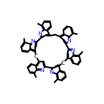 Cc1cccc2c3cc(nc12)-c1cc(c2cccc(C)c2n1)Cc1cc(nc2c(C)cccc12)-c1cc(c2cccc(C)c2n1)Cc1cc(nc2c(C)cccc12)-c1cc(c2cccc(C)c2n1)C3